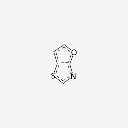 c1cc2scnc2o1